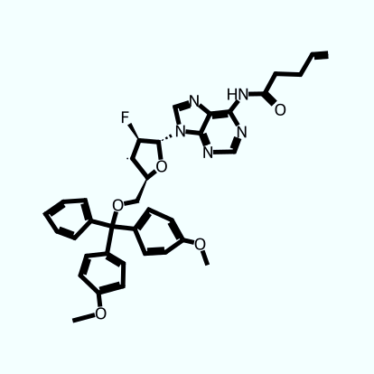 C=CCCC(=O)Nc1ncnc2c1ncn2[C@@H]1O[C@@H](COC(c2ccccc2)(c2ccc(OC)cc2)c2ccc(OC)cc2)[CH][C@H]1F